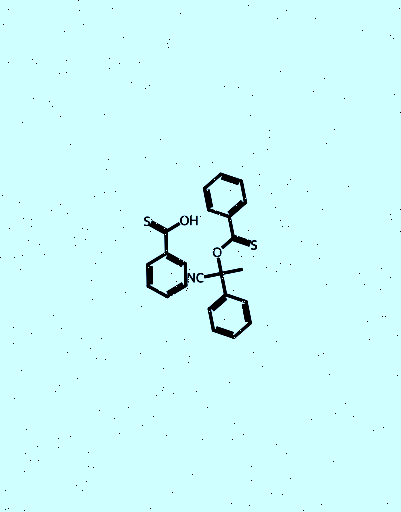 CC(C#N)(OC(=S)c1ccccc1)c1ccccc1.OC(=S)c1ccccc1